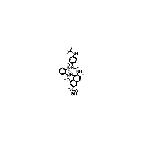 CCN(c1ccc(NC(C)=O)cc1)S(=O)(=O)c1ccccc1/N=N/c1c(N)ccc2cc(S(=O)(=O)O)cc(O)c12